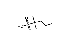 CCCC(C)(C)S(=O)(=O)O